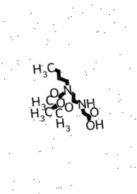 CCCCN(CC(=O)NCC(=O)O)C(=O)OC(C)(C)C